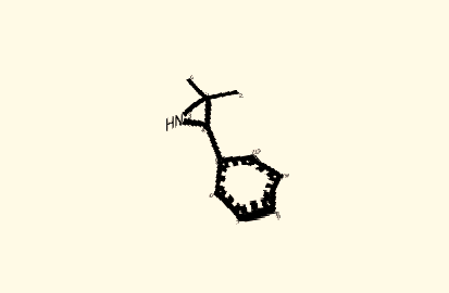 CC1(C)NC1c1ccccc1